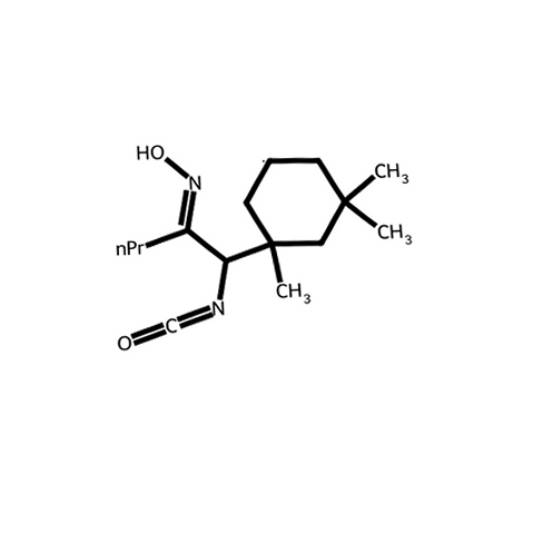 CCCC(=NO)C(N=C=O)C1(C)C[CH]CC(C)(C)C1